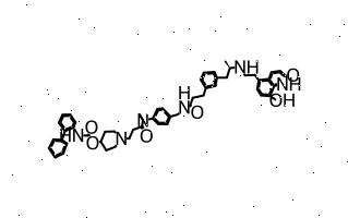 C[C@H](Cc1cccc(CCC(=O)NCc2ccc(N(C)C(=O)CCN3CCC(OC(=O)Nc4ccccc4-c4ccccc4)CC3)cc2)c1)NCCc1ccc(O)c2[nH]c(=O)ccc12